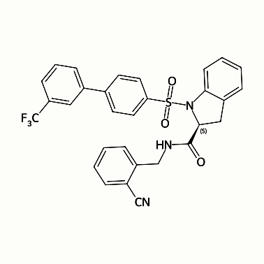 N#Cc1ccccc1CNC(=O)[C@@H]1Cc2ccccc2N1S(=O)(=O)c1ccc(-c2cccc(C(F)(F)F)c2)cc1